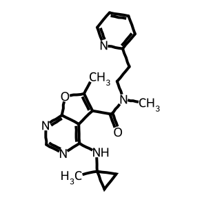 Cc1oc2ncnc(NC3(C)CC3)c2c1C(=O)N(C)CCc1ccccn1